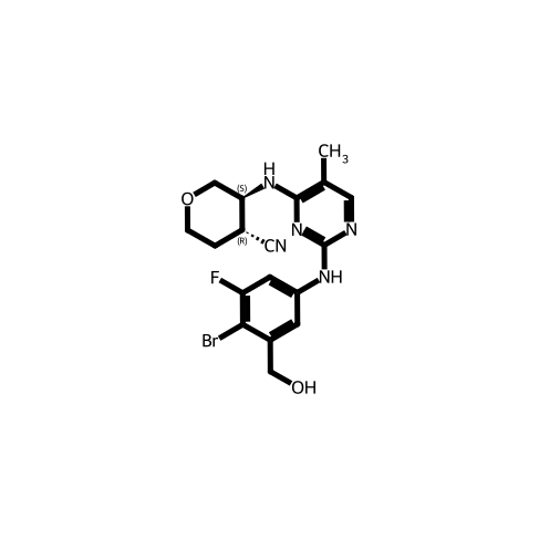 Cc1cnc(Nc2cc(F)c(Br)c(CO)c2)nc1N[C@@H]1COCC[C@H]1C#N